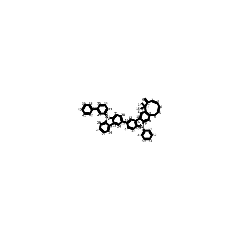 C=C1/C=C\C=C/Cc2cc3c(cc2C1(C)C)c1cc(-c2ccc4c(c2)c2ccccc2n4-c2cccc(-c4ccccc4)c2)ccc1n3-c1ccccc1